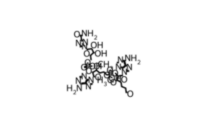 COC1C(CCC=O)OC(n2cnc3c(N)ncnc32)C1OP(=O)(O)OCC1OC(n2cnc3c(N)ncnc32)C(OP(=O)(O)OCC2OC(n3cnc(C(N)=O)n3)C(O)C2O)C1OC